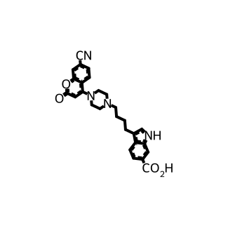 N#Cc1ccc2c(N3CCN(CCCCc4c[nH]c5cc(C(=O)O)ccc45)CC3)cc(=O)oc2c1